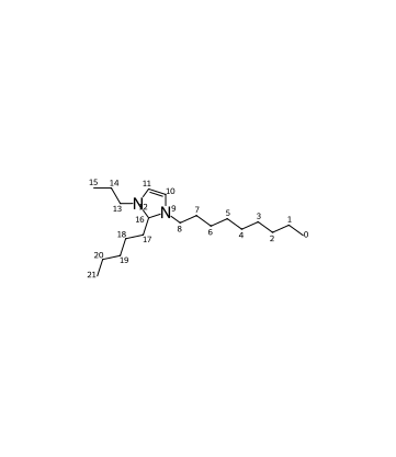 CCCCCCCCCN1C=CN(CCC)C1CCCCC